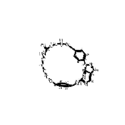 O=C1CCNOc2ccc(cc2)-n2nnc3cnc(nc32)Nc2ccc(cc2)OCCCCN1